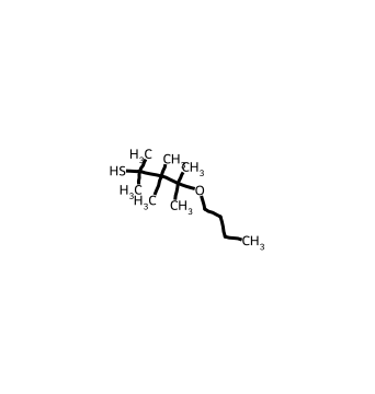 CCCCOC(C)(C)C(C)(C)C(C)(C)S